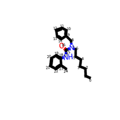 CCCCCCCN(Cc1ccccc1)C(=O)Nc1ccccc1C